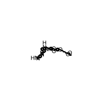 C=CC(=O)OCCCCCCOc1ccc(C(=O)Oc2ccc(CCC3(C)Nc4cccc5c(/N=N/c6ccc(N=N)cc6)ccc(c45)N3)cc2)cc1